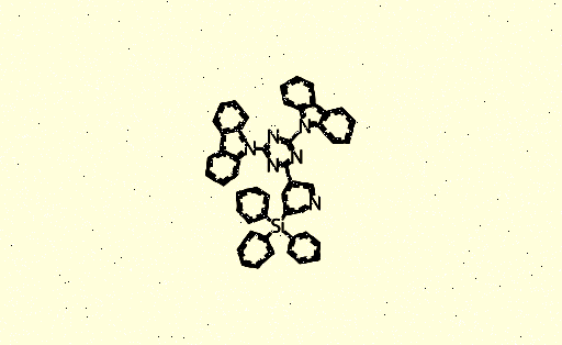 c1ccc([Si](c2ccccc2)(c2ccccc2)c2cncc(-c3nc(-n4c5ccccc5c5ccccc54)nc(-n4c5ccccc5c5ccccc54)n3)c2)cc1